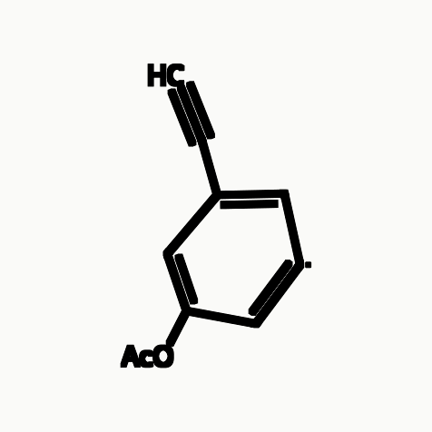 C#Cc1c[c]cc(OC(C)=O)c1